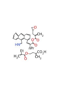 C=C(CC1CO1)C(=O)OC(=O)C(=Cc1cccc2cc3ccccc3c(C=N)c12)CCC.C=C(CCOC(=O)C(=C)CC)C(=O)O